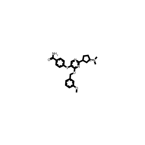 COc1cccc(COc2nc(C3CC[C@@H](N(C)C)C3)ncc2Sc2ccc(C(N)=O)cc2)c1